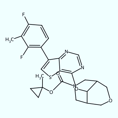 Cc1c(F)ccc(-c2csc3c(OC4C5COCC4CN(C(=O)OC4(C)CC4)C5)ncnc23)c1F